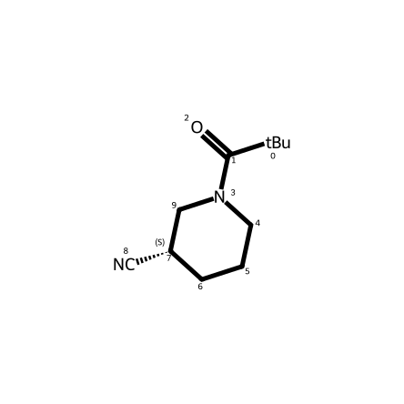 CC(C)(C)C(=O)N1CCC[C@H](C#N)C1